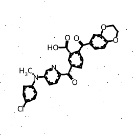 CN(c1ccc(Cl)cc1)c1ccc(C(=O)c2ccc(C(=O)c3ccc4c(c3)OCCO4)c(C(=O)O)c2)nc1